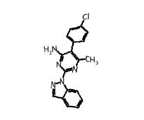 Cc1nc(-n2ncc3ccccc32)nc(N)c1-c1ccc(Cl)cc1